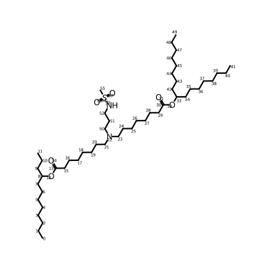 CCCCCCCCC(CCC)OC(=O)CCCCCCCN(CCCCCCCC(=O)OC(CCCCCCCC)CCCCCCCC)CCCNS(C)(=O)=O